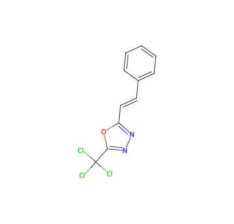 ClC(Cl)(Cl)c1nnc(C=Cc2ccccc2)o1